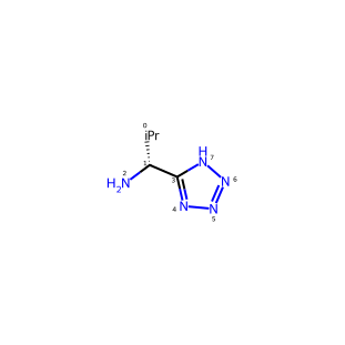 CC(C)[C@@H](N)c1nnn[nH]1